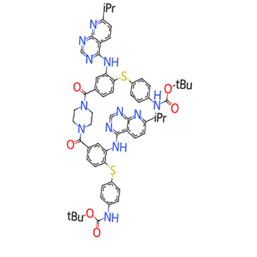 CC(C)c1ccc2c(Nc3cc(C(=O)N4CCN(C(=O)c5ccc(Sc6ccc(NC(=O)OC(C)(C)C)cc6)c(Nc6ncnc7nc(C(C)C)ccc67)c5)CC4)ccc3Sc3ccc(NC(=O)OC(C)(C)C)cc3)ncnc2n1